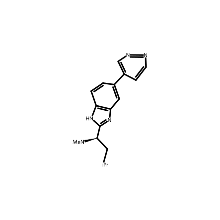 CN[C@H](CC(C)C)c1nc2cc(-c3ccnnc3)ccc2[nH]1